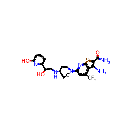 NC(=O)c1sc2nc(N3CCC(NCC(O)c4cccc(O)n4)CC3)cc(C(F)(F)F)c2c1N